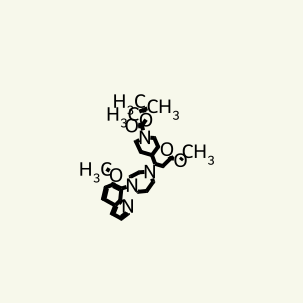 COC(=O)CC(C1CCN(C(=O)OC(C)(C)C)CC1)N1CCCN(c2c(OC)ccc3cccnc23)CC1